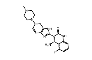 CN1CCN(C2C=Cc3nc(-c4c(N)c5c(F)cccc5[nH]c4=O)[nH]c3C2)CC1